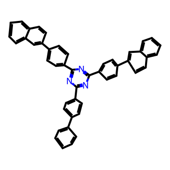 c1ccc(-c2ccc(-c3nc(-c4ccc(-c5ccc6ccccc6c5)cc4)nc(-c4ccc(-c5ccc6ccccc6c5)cc4)n3)cc2)cc1